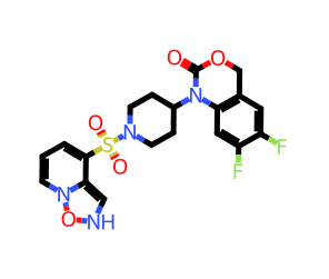 O=C1OCc2cc(F)c(F)cc2N1C1CCN(S(=O)(=O)C2=CC=CN3ONC=C23)CC1